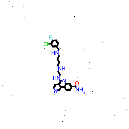 NC(=O)c1ccc2c(c1)nc(NCCNCCCCNCc1ccc(F)c(Cl)c1)c1ccncc12